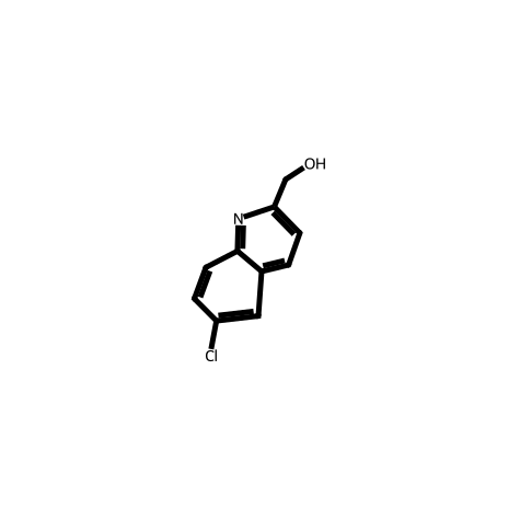 OCc1ccc2cc(Cl)ccc2n1